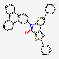 O=c1c2sc(-c3ccccc3)cc2c2cc(-c3ccccc3)sc2n1-c1ccc2c3ccccc3c3ccccc3c2c1